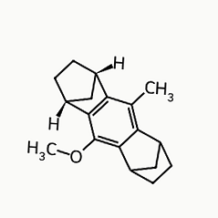 COc1c2c(c(C)c3c1[C@@H]1CC[C@H]3C1)C1CCC2C1